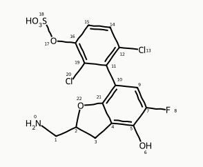 NCC1Cc2c(O)c(F)cc(-c3c(Cl)ccc(OS(=O)(=O)O)c3Cl)c2O1